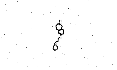 c1cc2c(cc1OCCCN1CCCCC1)CCCNC2